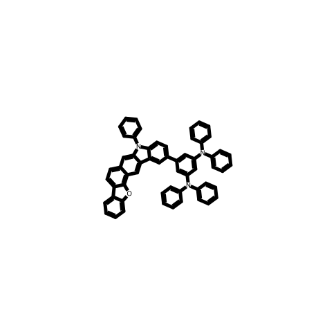 c1ccc(N(c2ccccc2)c2cc(-c3ccc4c(c3)c3cc5c(ccc6c7ccccc7oc56)cc3n4-c3ccccc3)cc(N(c3ccccc3)c3ccccc3)c2)cc1